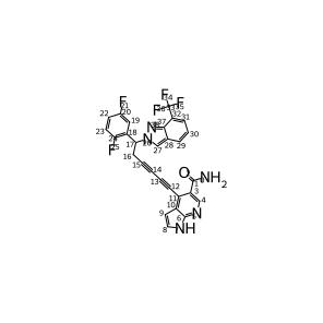 NC(=O)c1cnc2[nH]ccc2c1C#CC#CCC(c1cc(F)ccc1F)n1cc2cccc(C(F)(F)F)c2n1